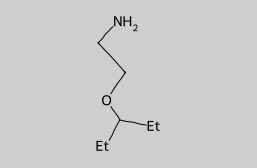 CCC(CC)OCCN